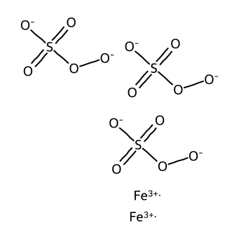 O=S(=O)([O-])O[O-].O=S(=O)([O-])O[O-].O=S(=O)([O-])O[O-].[Fe+3].[Fe+3]